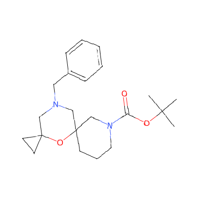 CC(C)(C)OC(=O)N1CCCC2(CN(Cc3ccccc3)CC3(CC3)O2)C1